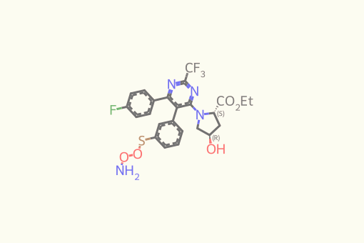 CCOC(=O)[C@@H]1C[C@@H](O)CN1c1nc(C(F)(F)F)nc(-c2ccc(F)cc2)c1-c1cccc(SOON)c1